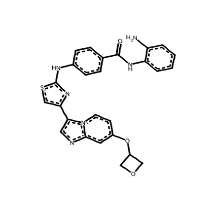 Nc1ccccc1NC(=O)c1ccc(Nc2nc(-c3cnc4cc(OC5COC5)ccn34)cs2)cc1